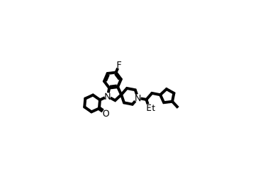 CCC(CC1CCC(C)C1)N1CCC2(CC1)CN(C1CCCCC1=O)c1ccc(F)cc12